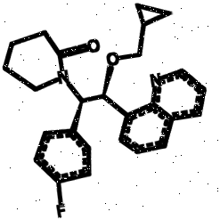 O=C1CCCCN1[C@H](c1ccc(F)cc1)[C@@H](OCC1CC1)c1cccc2cccnc12